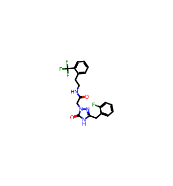 O=C(Cn1nc(Cc2ccccc2F)[nH]c1=O)NCCc1ccccc1C(F)(F)F